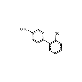 [C-]#[N+]c1ccccc1-c1ccc(C=O)cc1